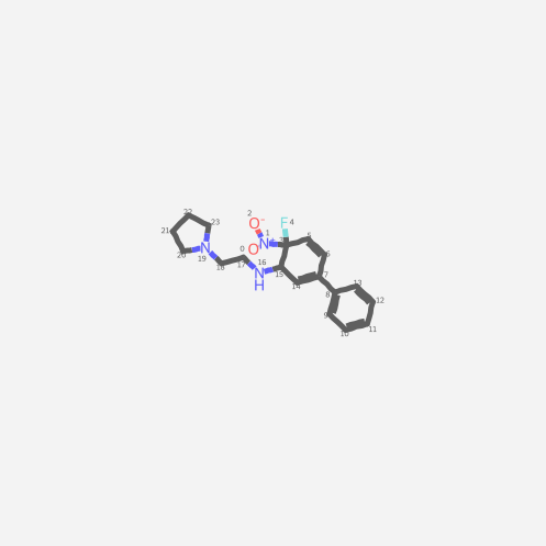 O=[N+]([O-])C1(F)C=CC(c2ccccc2)=CC1NCCN1CCCC1